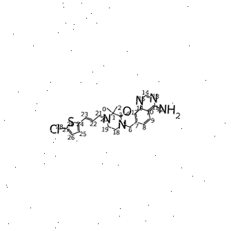 CC1(C)C(=O)N(Cc2ccc3c(N)ncnc3c2)CCN1CC=Cc1ccc(Cl)s1